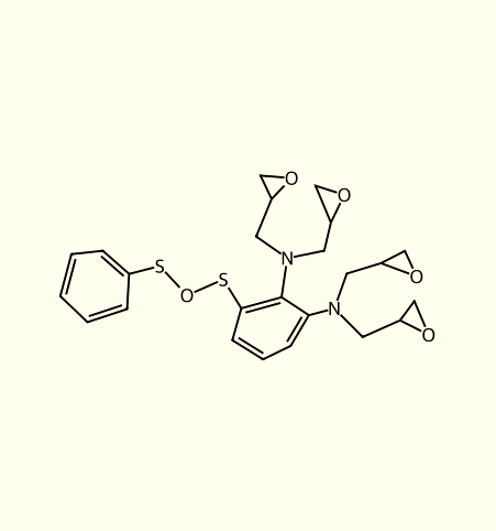 c1ccc(SOSc2cccc(N(CC3CO3)CC3CO3)c2N(CC2CO2)CC2CO2)cc1